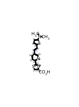 CN(C)c1ccc(/C=C/c2ccc(C3=N[C@@H](C(=O)O)CS3)nc2)s1